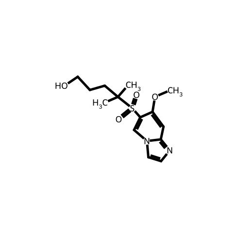 COc1cc2nccn2cc1S(=O)(=O)C(C)(C)CCCO